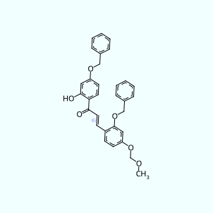 COCOc1ccc(/C=C/C(=O)c2ccc(OCc3ccccc3)cc2O)c(OCc2ccccc2)c1